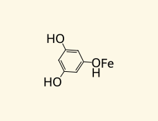 Oc1cc(O)cc(O)c1.[Fe]